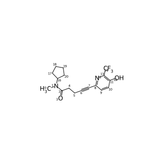 CN(C(=O)CCC#Cc1ccc(O)c(C(F)(F)F)n1)C1CCCC1